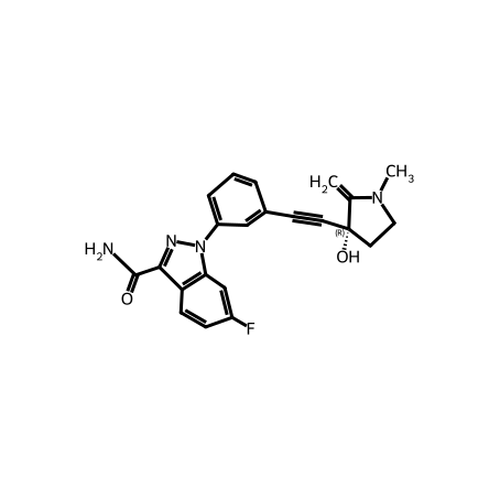 C=C1N(C)CC[C@@]1(O)C#Cc1cccc(-n2nc(C(N)=O)c3ccc(F)cc32)c1